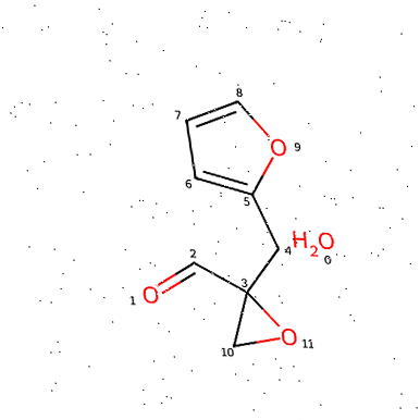 O.O=CC1(Cc2ccco2)CO1